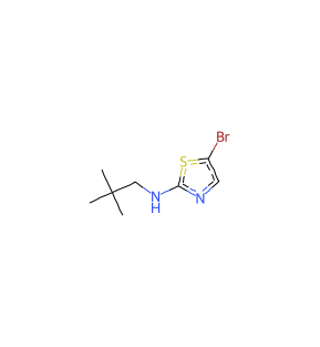 CC(C)(C)CNc1ncc(Br)s1